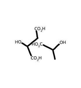 CC(O)C(=O)O.O=C(O)CC(O)C(=O)O